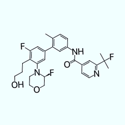 Cc1ccc(NC(=O)c2ccnc(C(C)(C)F)c2)cc1-c1cc(F)c(CCCO)c(N2CCOC[C@@H]2F)c1